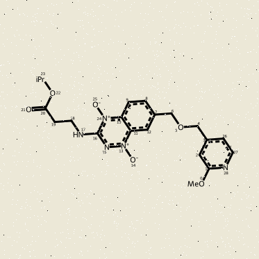 COc1cc(COCc2ccc3c(c2)[n+]([O-])nc(NCCC(=O)OC(C)C)[n+]3[O-])ccn1